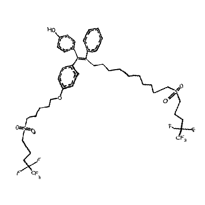 O=S(=O)(CCCCCCCCCC/C(=C(/c1ccc(O)cc1)c1ccc(OCCCCCS(=O)(=O)CCCC(F)(F)C(F)(F)F)cc1)c1ccccc1)CCCC(F)(F)C(F)(F)F